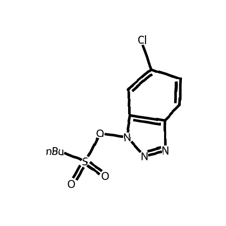 CCCCS(=O)(=O)On1nnc2ccc(Cl)cc21